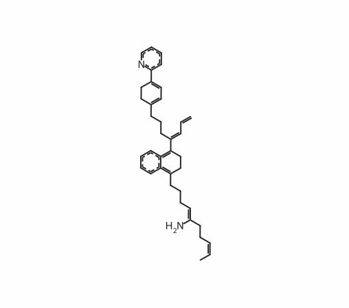 C=C/C=C(\CCCC1=CC=C(c2ccccn2)CC1)C1=c2ccccc2=C(CCC/C=C(\N)CC/C=C\C)CC1